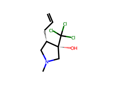 C=CC[C@H]1CN(C)C[C@]1(O)C(Cl)(Cl)Cl